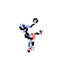 CC(C)(C)OC(=O)N1CCN(C(=O)c2cc3ccc(-c4cc(NCCCN5CCCCC5)c5cnccc5n4)cc3n2COCC[Si](C)(C)C)CC1